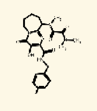 CN(C)C(=O)C(=O)N(C)C1CCCCn2c1nc(C(=O)NCc1ccc(F)cc1)c(O)c2=O